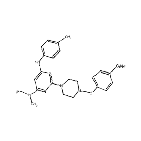 COc1ccc(SN2CCN(c3nc(Nc4ccc(C)cc4)cc(N(C)C(C)C)n3)CC2)cc1